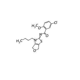 CCCCn1c2c(s/c1=N\C(=O)c1cc(Cl)ccc1OC)COC2